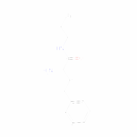 CC(C)CCNC(=O)[C@@H](N)CCc1ccccc1